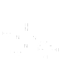 O=C(O)CN1CCNCCN(CC(=O)O[C@@H](CO)[C@H](O)CO)CCN(CC(=O)O)CC1